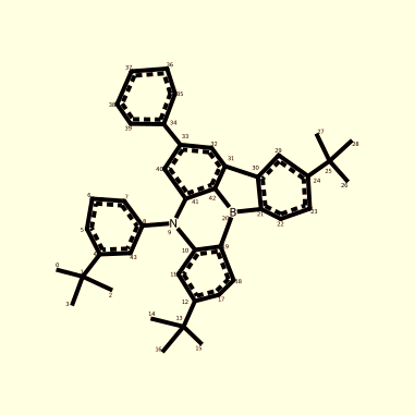 CC(C)(C)c1cccc(N2c3cc(C(C)(C)C)ccc3B3c4ccc(C(C)(C)C)cc4-c4cc(-c5ccccc5)cc2c43)c1